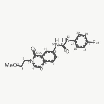 COCCn1cnc2ccc(NC(=O)Nc3ccc(F)cc3)cc2c1=O